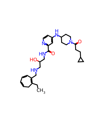 CCC1=C(CNCC(O)CNC(=O)c2cc(NC3CCN(C(=O)CCC4CC4)CC3)ccn2)C=CC=CC1